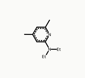 CCN(CC)c1cc(C)cc(C)n1